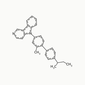 CCC(C)c1ccc(-c2ccc(-n3c4ccccc4c4cnccc43)cc2C)cc1